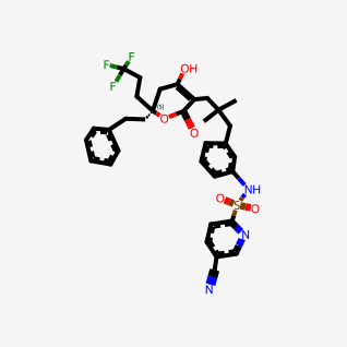 CC(C)(CC1=C(O)C[C@](CCc2ccccc2)(CCC(F)(F)F)OC1=O)Cc1cccc(NS(=O)(=O)c2ccc(C#N)cn2)c1